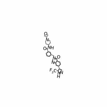 O=C(NC1CCN(C2COC2)CC1)c1cccc(Cn2cnc3cc(-c4cn[nH]c4C(F)(F)F)ccc3c2=O)c1